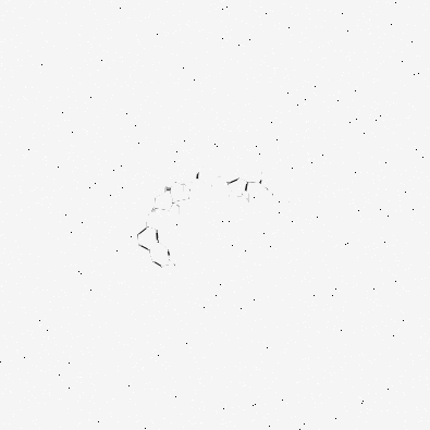 NC(=O)c1cc(COC(=O)N2C[C@H]3C[C@@H](Oc4ccc5ccncc5c4)C[C@H]3C2)on1